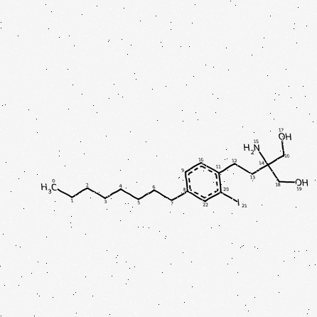 CCCCCCCCc1ccc(CCC(N)(CO)CO)c(I)c1